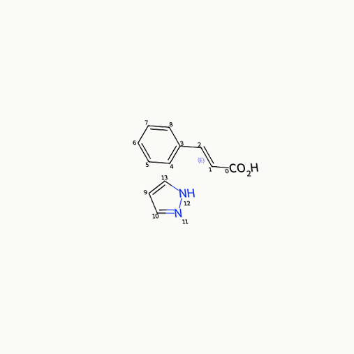 O=C(O)/C=C/c1ccccc1.c1cn[nH]c1